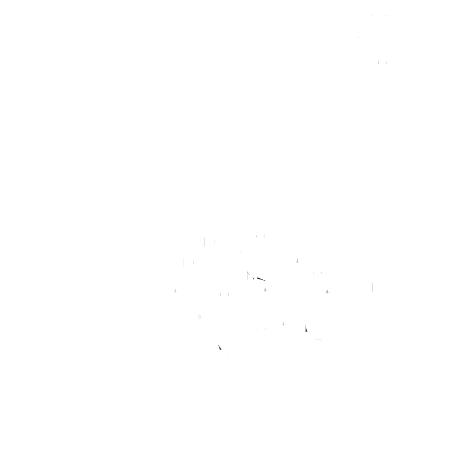 COC(=O)CCCCCCCCO[C@@H]1O[C@H](CO)[C@@H](O)[C@H](OC2O[C@@H](C)[C@@H](OCc3ccccc3)[C@@H](OCc3ccccc3)[C@@H]2OCc2ccccc2)[C@H]1NC(C)=O